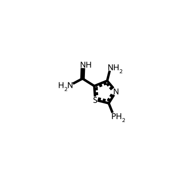 N=C(N)c1sc(P)nc1N